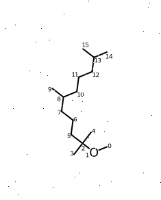 COC(C)(C)CCCC(C)CCCC(C)C